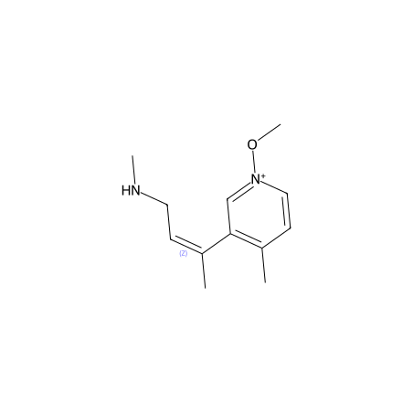 CNC/C=C(/C)c1c[n+](OC)ccc1C